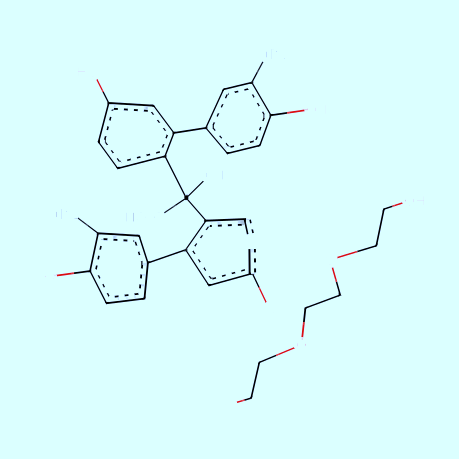 CC(C)(C)c1cc(-c2cc(O)ccc2C(C)(C(=O)O)c2ccc(O)cc2-c2ccc(O)c(C(C)(C)C)c2)ccc1O.OCCOCCOCCO